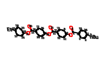 CCCCc1ccc(C(=O)Oc2ccc(C(=O)Oc3ccc(C(=O)Oc4ccc(CC)cc4)cc3)cc2)cc1